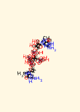 C[n+]1cn([C@@H]2O[C@H](COP(=O)(O)OCC(COP(=O)(O)O)(COP(=O)(O)O)COP(=O)(O)OC[C@@H]3CC[C@H](n4c[n+](C)c5c(=O)[nH]c(N)nc54)O3)[C@@H](O)[C@H]2O)c2nc(N)[nH]c(=O)c21